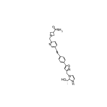 C[C@H](O)C1NC=CN1Cc1cc(-c2ccc(C#Cc3ccc(CN4CC(C(N)=O)C4)nc3)cc2)on1